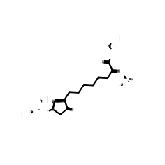 CCOC(=O)/C(CCCCCCC1=CC(O[Si](C)(C)C)CC1=O)=N/N(C)C